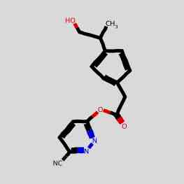 CC(CO)c1ccc(CC(=O)Oc2ccc(C#N)nn2)cc1